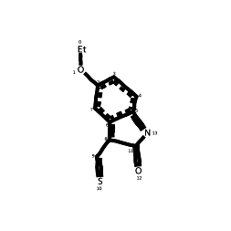 CCOc1ccc2c(c1)=C(C=S)C(=O)N=2